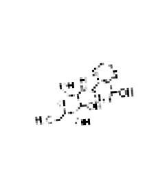 CCC1O[C@@H](O)[C@@H](NC(=O)C2=C(C(=O)O)SCCS2)[C@@H](O)[C@@H]1O